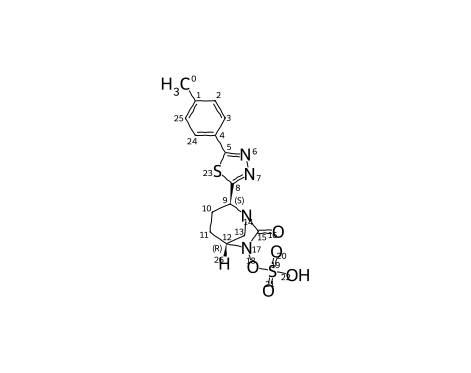 Cc1ccc(-c2nnc([C@@H]3CC[C@@H]4CN3C(=O)N4OS(=O)(=O)O)s2)cc1